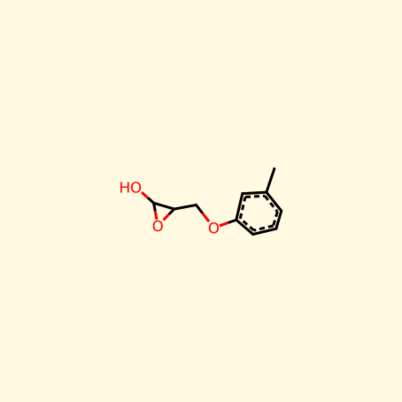 Cc1cccc(OCC2OC2O)c1